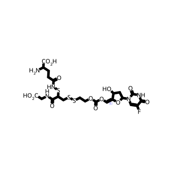 NC(CCC(=O)NSC(CSSCCOC(=O)O/C=C1/OC(n2cc(F)c(=O)[nH]c2=O)CC1O)C(=O)NCC(=O)O)C(=O)O